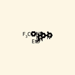 CCOc1nc(Nc2ccc(C(F)(F)F)cc2)c2c(C)cc(-c3ncccc3C)cc2n1